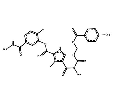 CCCNC(=O)c1ccc(C)c(NC(=N)c2[nH]cc(C(=O)N(CCC)C(=O)OCOC(=O)c3ccc(O)cc3)c2C)c1